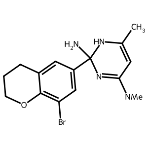 CNC1=NC(N)(c2cc(Br)c3c(c2)CCCO3)NC(C)=C1